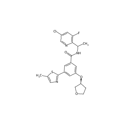 Cc1cnc(-c2cc(O[C@H]3CCOC3)cc(C(=O)NC(C)c3ncc(Cl)cc3F)c2)s1